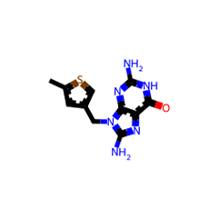 Cc1cc(Cn2c(N)nc3c(=O)[nH]c(N)nc32)cs1